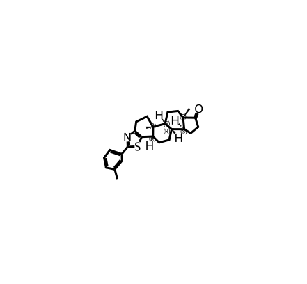 Cc1cccc(-c2nc3c(s2)[C@@H]2CC[C@@H]4[C@H](CC[C@]5(C)C(=O)CC[C@@H]45)[C@@]2(C)CC3)c1